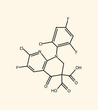 O=C(O)C1(C(=O)O)CN(c2c(F)cc(F)cc2Cl)c2nc(Cl)c(F)cc2C1=O